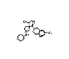 CCC(O)C1(C(=O)N2CCc3ncc(C(F)(F)F)cc3C2)CC[C@@H](NC2CCOCC2)C1